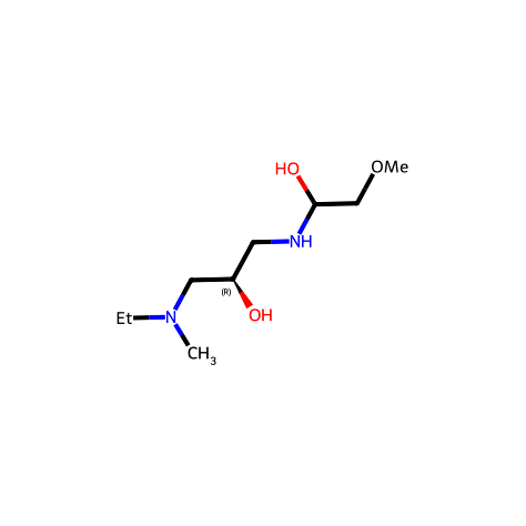 CCN(C)C[C@H](O)CNC(O)COC